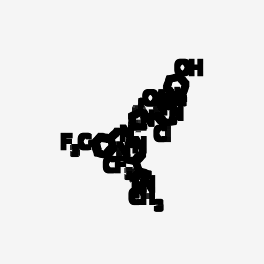 COC[C@@H]1C[C@H](N(Cc2cc(C(F)(F)F)cc(C(F)(F)F)c2)c2ncc(-c3cnn(C)c3)cn2)CN1c1nc(N2CCC(O)CC2)ncc1Cl